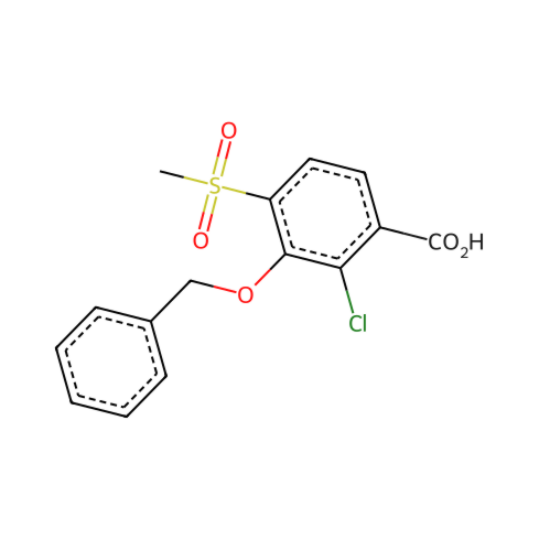 CS(=O)(=O)c1ccc(C(=O)O)c(Cl)c1OCc1ccccc1